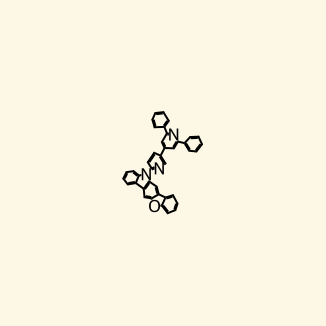 c1ccc(-c2cc(-c3ccc(-n4c5ccccc5c5cc6oc7ccccc7c6cc54)nc3)cc(-c3ccccc3)n2)cc1